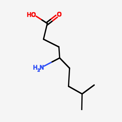 CC(C)CCC(N)CCC(=O)O